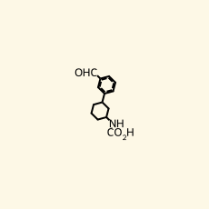 O=Cc1cccc(C2CCCC(NC(=O)O)C2)c1